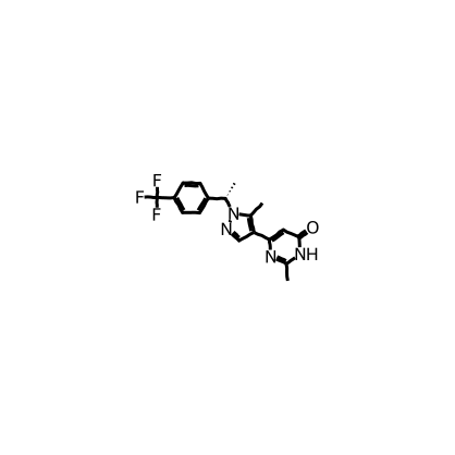 Cc1nc(-c2cnn([C@@H](C)c3ccc(C(F)(F)F)cc3)c2C)cc(=O)[nH]1